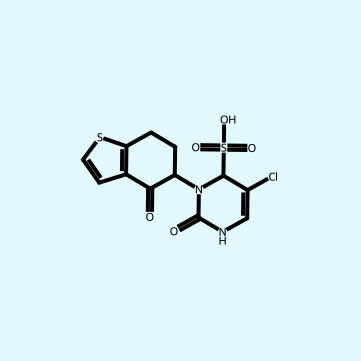 O=C1c2ccsc2CCC1N1C(=O)NC=C(Cl)C1S(=O)(=O)O